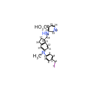 CN(c1ccc(CI)cc1)c1ccc2c(c1)CC[C@H]2CNc1cnccc1C(=O)O